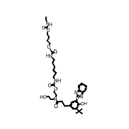 CCNC(=O)OCCCCOC(=O)NCCCCCCNC(=O)OCCN(CCO)C(=O)CCc1cc(-n2nc3ccccc3n2)c(O)c(C(C)(C)C)c1